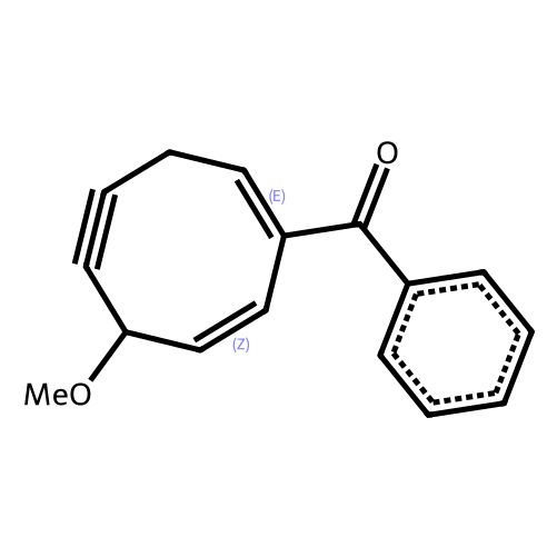 COC1C#CC/C=C(C(=O)c2ccccc2)\C=C/1